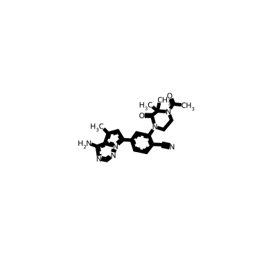 CC(=O)N1CCN(c2cc(-c3cc(C)c4c(N)ncnn34)ccc2C#N)C(=O)C1(C)C